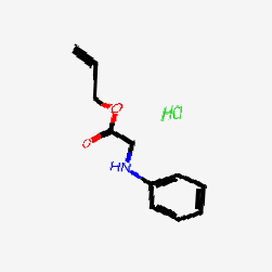 C=CCOC(=O)CNc1ccccc1.Cl